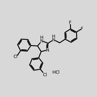 Cl.Fc1ccc(CNC2=NC(c3cccc(Cl)c3)C(c3cccc(Cl)c3)N2)cc1F